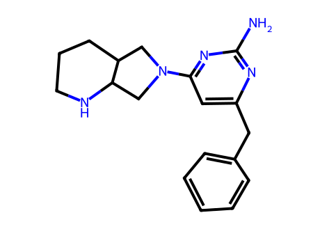 Nc1nc(Cc2ccccc2)cc(N2CC3CCCNC3C2)n1